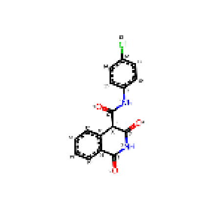 O=C1NC(=O)[C@H](C(=O)Nc2ccc(Cl)cc2)c2ccccc21